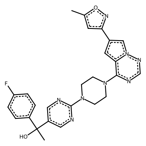 Cc1cc(-c2cc3c(N4CCN(c5ncc(C(C)(O)c6ccc(F)cc6)cn5)CC4)ncnn3c2)no1